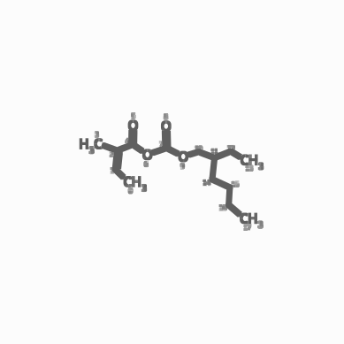 CC=C(C)C(=O)OC(=O)OCC(CC)CCCC